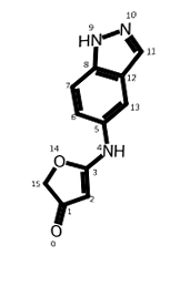 O=C1C=C(Nc2ccc3[nH]ncc3c2)OC1